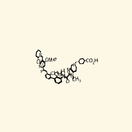 COc1cc(/C(F)=C/c2cccc(-c3cccc(NC(=O)c4nc5c(n4C)CCN(C[C@H]4CC[C@H](C(=O)O)CC4)C5)c3C)c2C)ncc1CN1CCCC[C@H]1C